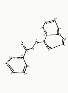 O=C(COc1cccc2cccnc12)c1ccccc1